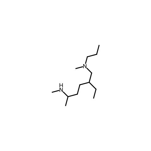 CCCN(C)CC(CC)CCC(C)NC